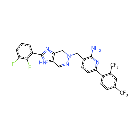 Nc1nc(-c2ccc(C(F)(F)F)cc2C(F)(F)F)ccc1CN1Cc2nc(-c3cccc(F)c3F)[nH]c2C=N1